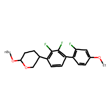 CCCCOC1CCC(c2ccc(-c3ccc(OCC)cc3F)c(F)c2F)CO1